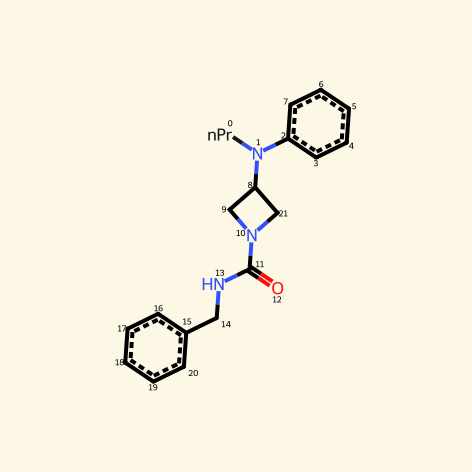 CCCN(c1ccccc1)C1CN(C(=O)NCc2ccccc2)C1